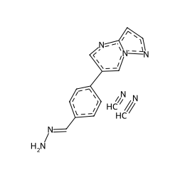 C#N.C#N.NN=Cc1ccc(-c2cnc3ccnn3c2)cc1